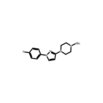 CC(C)(C)N1CCN(c2ccn(-c3ccc(F)cc3)n2)CC1